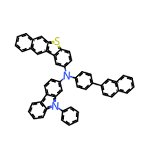 c1ccc(-n2c3ccccc3c3ccc(N(c4ccc(-c5ccc6ccccc6c5)cc4)c4ccc5sc6cc7ccccc7cc6c5c4)cc32)cc1